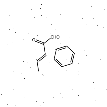 C/C=C/C(=O)C=O.c1ccccc1